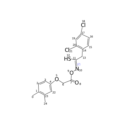 Cc1ccc(OCC(=O)O/N=C(\S)Cc2ccc(Cl)cc2Cl)cc1C